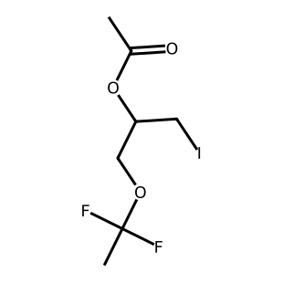 CC(=O)OC(CI)COC(C)(F)F